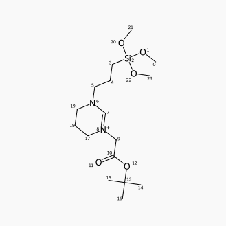 CO[Si](CCCN1C=[N+](CC(=O)OC(C)(C)C)CCC1)(OC)OC